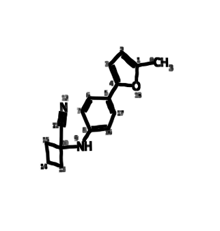 Cc1ccc(-c2ccc(NC3(C#N)CCC3)cc2)o1